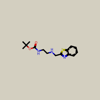 CC(C)(C)OC(=O)NCCNCc1nc2ccccc2s1